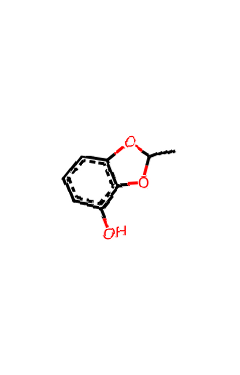 CC1Oc2cccc(O)c2O1